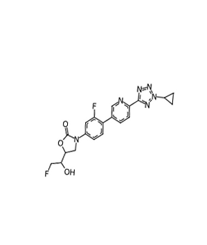 O=C1OC(C(O)CF)CN1c1ccc(-c2ccc(-c3nnn(C4CC4)n3)nc2)c(F)c1